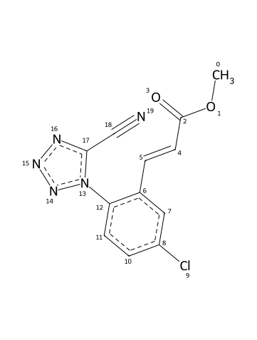 COC(=O)/C=C/c1cc(Cl)ccc1-n1nnnc1C#N